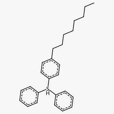 CCCCCCCCc1ccc([SH](c2ccccc2)c2ccccc2)cc1